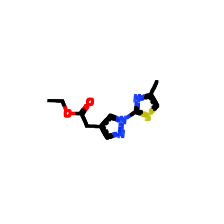 CCOC(=O)Cc1cnn(-c2nc(C)cs2)c1